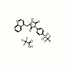 C[C@]1(Cc2ccnc3ccccc23)NC(=O)N(c2ccc(S(=O)(=O)C(F)(F)F)cc2)C1=O.O=C(O)C(F)(F)F